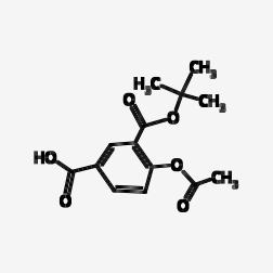 CC(=O)Oc1ccc(C(=O)O)cc1C(=O)OC(C)(C)C